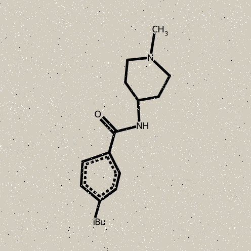 CCC(C)c1ccc(C(=O)NC2CCN(C)CC2)cc1